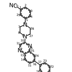 N#Cc1cccc(N2CCN(c3cnc4ccc(-c5ccc(O)cc5)cc4n3)CC2)c1